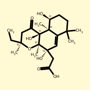 CC[C@@]1(C)CC(=O)[C@@]2(O)[C@](C)(O1)[C@](O)(CC(=O)O)C=C1C(C)(C)CC[C@H](O)[C@@]12C